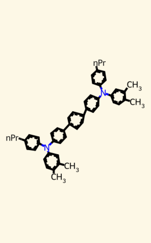 CCCc1ccc(N(c2ccc(-c3ccc(-c4ccc(N(c5ccc(CCC)cc5)c5ccc(C)c(C)c5)cc4)cc3)cc2)c2ccc(C)c(C)c2)cc1